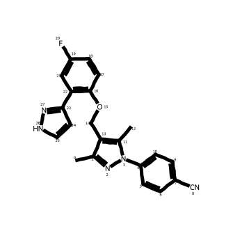 Cc1nn(-c2ccc(C#N)cc2)c(C)c1COc1ccc(F)cc1-c1cc[nH]n1